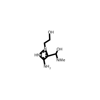 CNC(O)c1c(N)[nH]n1CCO